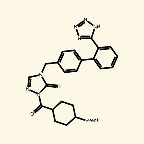 CCCCCC1CCC(C(=O)n2ncn(Cc3ccc(-c4ccccc4-c4nnn[nH]4)cc3)c2=O)CC1